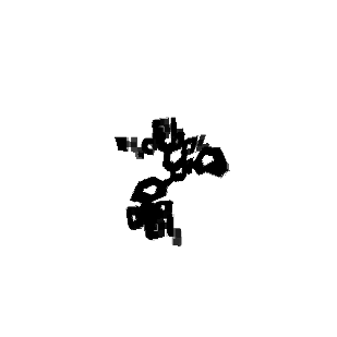 Cc1c(CC(=O)N(C)C)c(-c2cccc(S(C)(=O)=O)c2)cn1-c1ccccc1